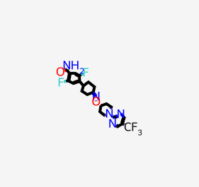 NC(=O)c1cc(F)c(C2CCC(=NOC3CCN(c4ncc(C(F)(F)F)cn4)CC3)CC2)cc1F